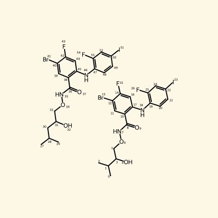 CC(C)C(O)CONC(=O)c1cc(Br)c(F)cc1Nc1ccc(I)cc1F.CC(C)CC(O)CONC(=O)c1cc(Br)c(F)cc1Nc1ccc(I)cc1F